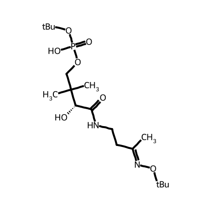 C/C(CCNC(=O)[C@H](O)C(C)(C)COP(=O)(O)OC(C)(C)C)=N\OC(C)(C)C